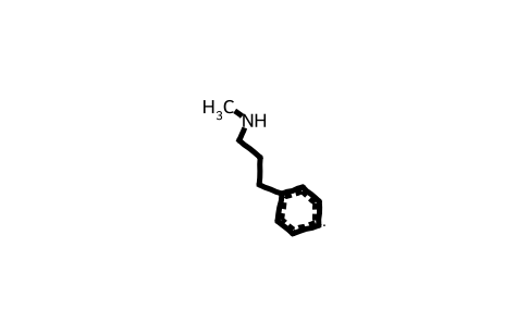 CNCCCc1cc[c]cc1